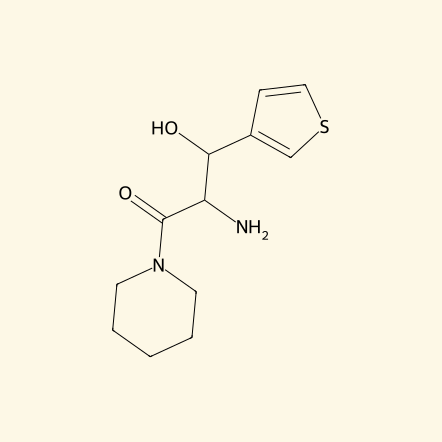 NC(C(=O)N1CCCCC1)C(O)c1ccsc1